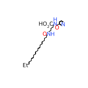 CCC=CCC=CCC=CCC=CCC=CCCCC(=O)NCCCC[C@H](NC(=O)c1cccnc1)C(=O)O